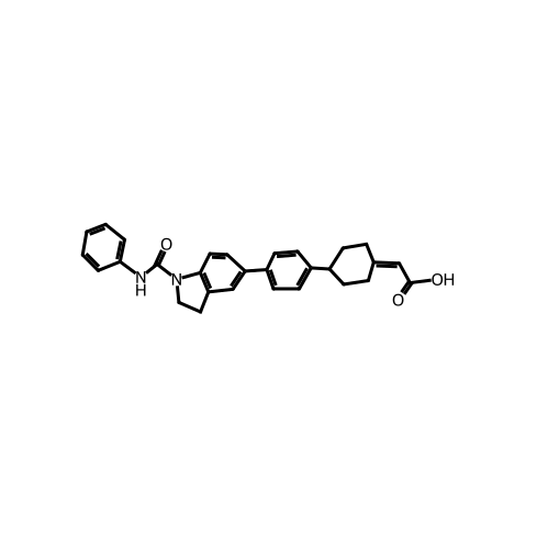 O=C(O)C=C1CCC(c2ccc(-c3ccc4c(c3)CCN4C(=O)Nc3ccccc3)cc2)CC1